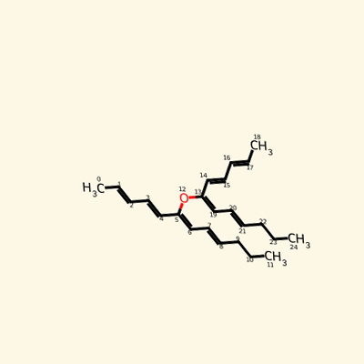 CC=CC=CC(=CC=CCCC)OC(C=CC=CC)=CC=CCCC